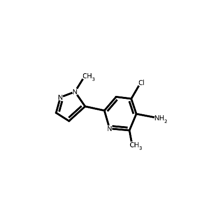 Cc1nc(-c2ccnn2C)cc(Cl)c1N